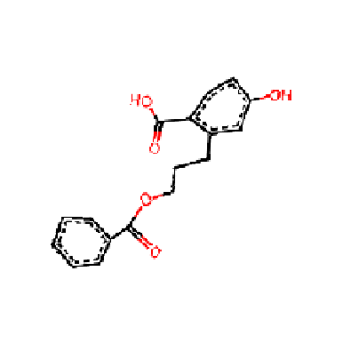 O=C(OCCCc1cc(O)ccc1C(=O)O)c1ccccc1